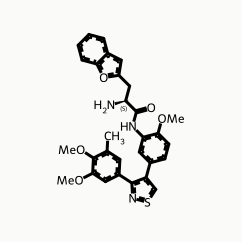 COc1ccc(-c2csnc2-c2cc(C)c(OC)c(OC)c2)cc1NC(=O)[C@@H](N)Cc1cc2ccccc2o1